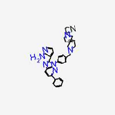 N#CN1CC[C@@]2(CCN(Cc3ccc(-n4c(-c5cccnc5N)nc5ccc(-c6ccccc6)nc54)cc3)C2)C1